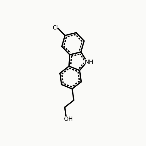 OCCc1ccc2c(c1)[nH]c1ccc(Cl)cc12